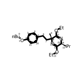 CCCCOc1ccc(CC[C@@]2(C)N=C(OCC)[C@H](C(C)C)N=C2OCC)cc1